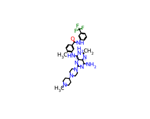 C=C/N=C1/C(N)=NC(N2CCN(C3CCN(C)CC3)CC2)=N/C1=C(/N)Nc1cc(C(=O)Nc2cccc(C(F)(F)F)c2)ccc1C